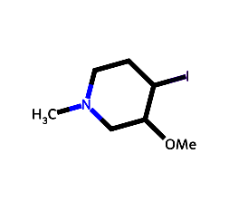 COC1CN(C)CCC1I